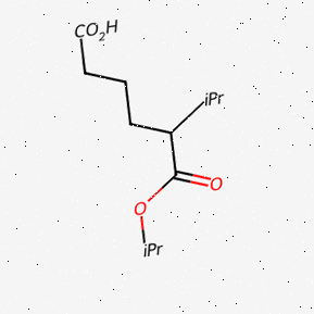 CC(C)OC(=O)C(CCCC(=O)O)C(C)C